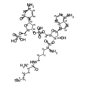 CC(C)(C)SSC[C@H](N)C(=O)NCCCC[C@H](N)C(=O)O[C@H]1[C@@H](O)[C@H](n2cnc3c(N)ncnc32)O[C@@H]1COP(=O)(O)O[C@H]1C[C@H](n2ccc(N)nc2=O)O[C@@H]1COP(=O)(O)O